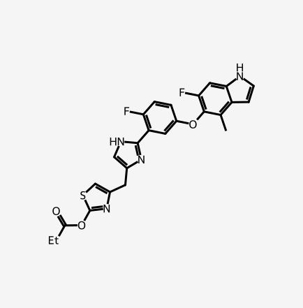 CCC(=O)Oc1nc(Cc2c[nH]c(-c3cc(Oc4c(F)cc5[nH]ccc5c4C)ccc3F)n2)cs1